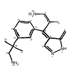 C=c1[nH]nc/c1=C(/C(C)=C\N)c1cccc(C(C)(C)CN)c1